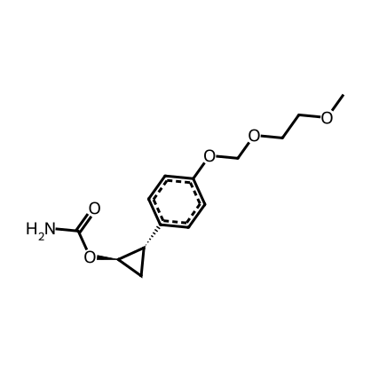 COCCOCOc1ccc([C@@H]2C[C@H]2OC(N)=O)cc1